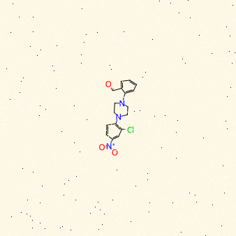 O=Cc1ccccc1N1CCN(c2ccc([N+](=O)[O-])cc2Cl)CC1